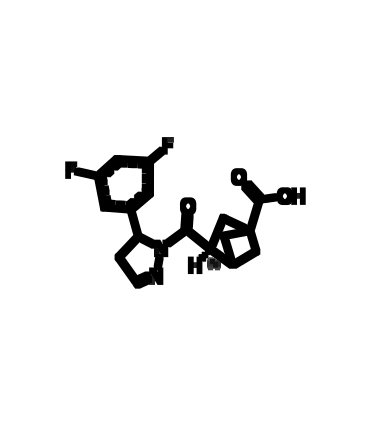 O=C([C@H]1CC2(C(=O)O)CC1C2)N1N=CCC1c1cc(F)cc(F)c1